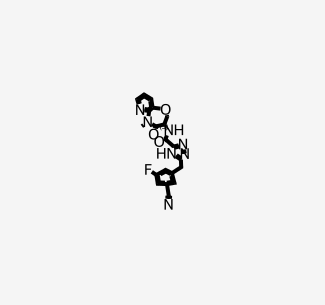 CN1C(=O)[C@@H](NC(=O)c2nnc(Cc3cc(F)cc(C#N)c3)[nH]2)COc2cccnc21